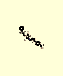 O=C(CN1C(=O)N/C(=C\c2ccc(-c3ccc(C(=O)O)cc3)o2)C1=O)Nc1ccccc1